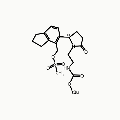 CC(C)(C)OC(=O)NCCN1C(=O)CC[C@@H]1c1ccc2c(c1COS(C)(=O)=O)CCC2